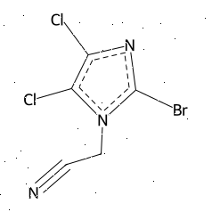 N#CCn1c(Br)nc(Cl)c1Cl